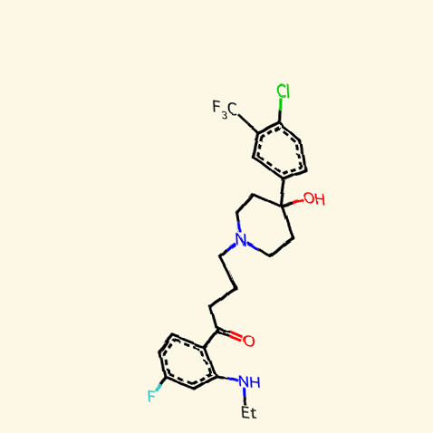 CCNc1cc(F)ccc1C(=O)CCCN1CCC(O)(c2ccc(Cl)c(C(F)(F)F)c2)CC1